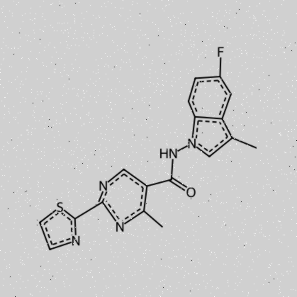 Cc1nc(-c2nccs2)ncc1C(=O)Nn1cc(C)c2cc(F)ccc21